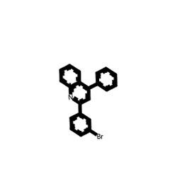 Brc1cccc(-c2cc(-c3ccccc3)c3ccccc3n2)c1